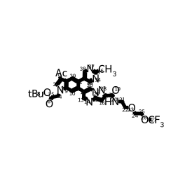 CC(=O)c1cn(CC(=O)OC(C)(C)C)c2cc(-c3cnc4cc(C(=O)NCCOCCOC(F)(F)F)nn4c3)c(-c3cnc(C)nc3)cc12